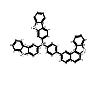 c1ccc2c(c1)oc1cc(N(c3ccc(-c4ccc5ccc6oc7ccccc7c6c5c4)cc3)c3ccc4sc5ccccc5c4c3)ccc12